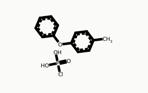 Cc1ccc(Oc2ccccc2)cc1.O=P(O)(O)Cl